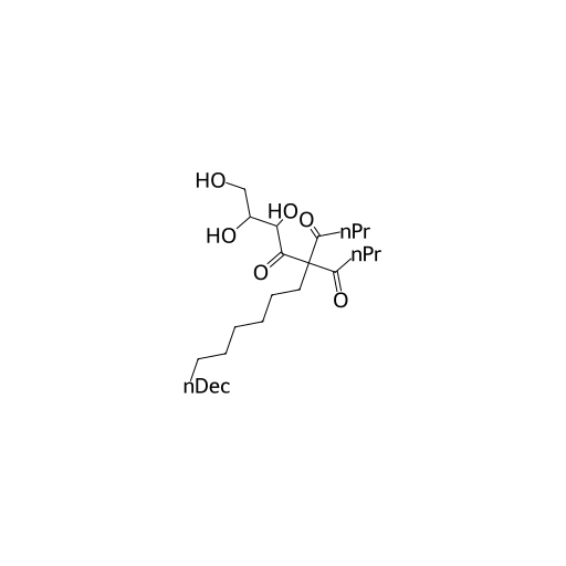 CCCCCCCCCCCCCCCCC(C(=O)CCC)(C(=O)CCC)C(=O)C(O)C(O)CO